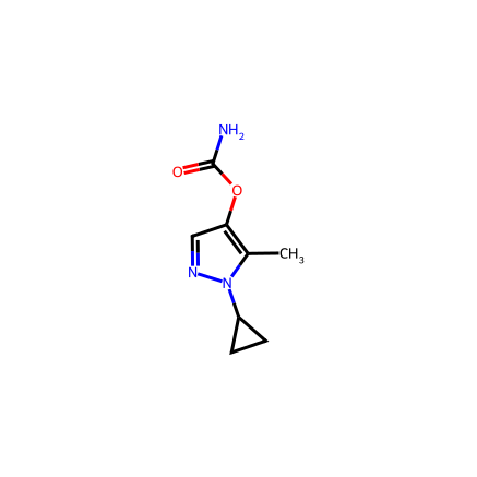 Cc1c(OC(N)=O)cnn1C1CC1